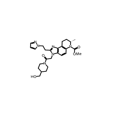 COC(=O)N1c2ccc3c(nc(CCn4cccn4)n3CC(=O)N3CCC(CO)CC3)c2CC[C@@H]1C